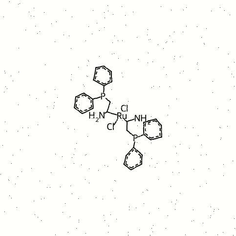 N[CH](CP(c1ccccc1)c1ccccc1)[Ru]([Cl])([Cl])[CH](N)CP(c1ccccc1)c1ccccc1